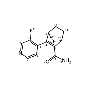 NC(=O)C1=C(c2ccncc2F)C2CCC1O2